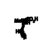 CN[C@H](C=CC=CC#CC=C[C@H](O)COc1ccc(F)cc1)[C@H](O)COCC(=O)O